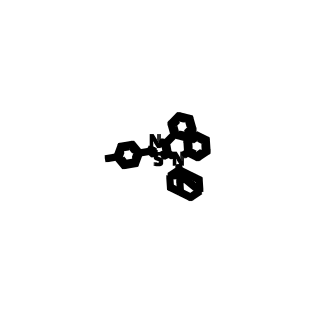 Cc1ccc(-c2nc(-c3ccccc3)c(N(c3ccccc3)C3C4CC5CC(C4)CC3C5)s2)cc1